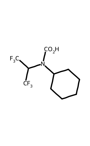 O=C(O)N(C1CCCCC1)C(C(F)(F)F)C(F)(F)F